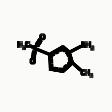 Cc1ccc(S(C)(=O)=O)cc1N